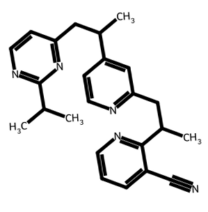 CC(C)c1nccc(CC(C)c2ccnc(CC(C)c3ncccc3C#N)c2)n1